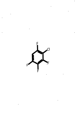 Fc1cc(F)c(Cl)c(F)c1F